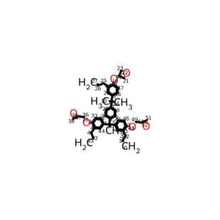 C=CCc1cc(C(C)(c2ccc(C(C)(C)c3ccc(OC4COC4)c(CC=C)c3)cc2)c2ccc(OCC3CO3)c(CC=C)c2)ccc1OCC1CO1